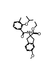 CCOC(=O)C1(NC(=O)c2cccc(C)c2OC(C)C)Cc2ccc(OC)cc2C1